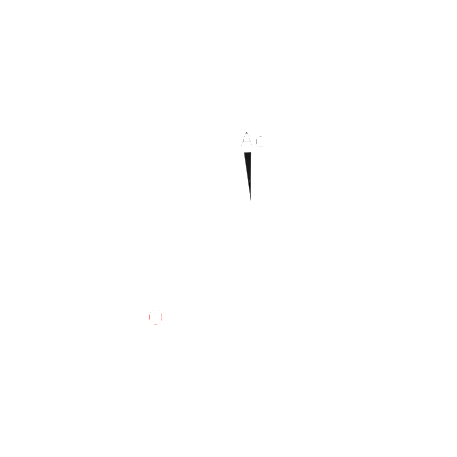 CC(=O)[C@H]1CCCC(=O)C1